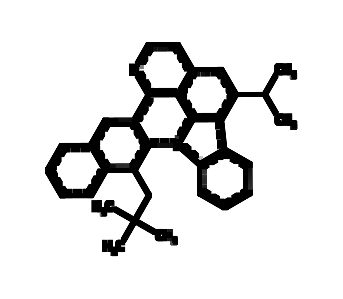 CC(C)c1cc2ccnc3c4cc5ccccc5c(CC(C)(C)C)c4n4c5ccccc5c1c4c23